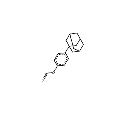 O=[C]Oc1ccc(C23CC4CC(CC(C4)C2)C3)cc1